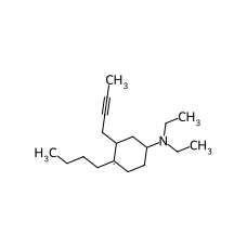 CC#CCC1CC(N(CC)CC)CC[C]1CCCC